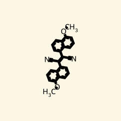 COc1cccc2c(/C(C#N)=C(\C#N)c3cccc4c(OC)cccc34)cccc12